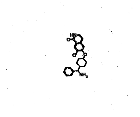 NC(c1ccccc1)C1CCC(Oc2cc3cc[nH]c(=O)c3cc2Cl)CC1